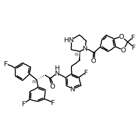 O=C(C[C@@H](c1ccc(F)cc1)c1cc(F)cc(F)c1)Nc1cncc(F)c1CC[C@H]1CNCCN1C(=O)c1ccc2c(c1)OC(F)(F)O2